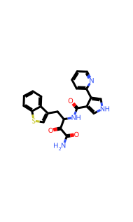 NC(=O)C(=O)C(Cc1csc2ccccc12)NC(=O)c1c[nH]cc1-c1ccccn1